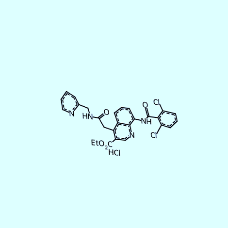 CCOC(=O)c1cnc2c(NC(=O)c3c(Cl)cccc3Cl)cccc2c1CC(=O)NCc1ccccn1.Cl